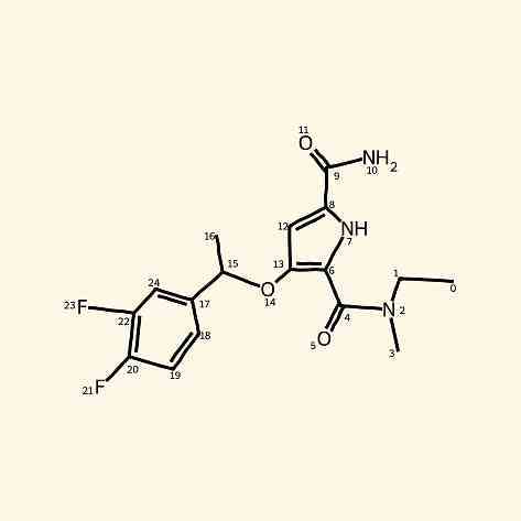 CCN(C)C(=O)c1[nH]c(C(N)=O)cc1OC(C)c1ccc(F)c(F)c1